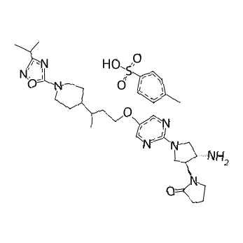 CC(C)c1noc(N2CCC(C(C)CCOc3cnc(N4C[C@H](N)[C@@H](N5CCCC5=O)C4)nc3)CC2)n1.Cc1ccc(S(=O)(=O)O)cc1